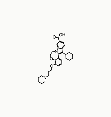 O=C(O)c1ccc2c(C3CCCCC3)c3n(c2c1)CCOc1c(OCCCN2CCCCC2)cccc1-3